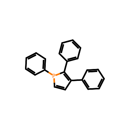 c1ccc(-c2ccp(-c3ccccc3)c2-c2ccccc2)cc1